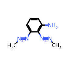 C/N=N/c1cccc(N)c1/N=N/C